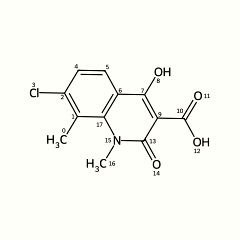 Cc1c(Cl)ccc2c(O)c(C(=O)O)c(=O)n(C)c12